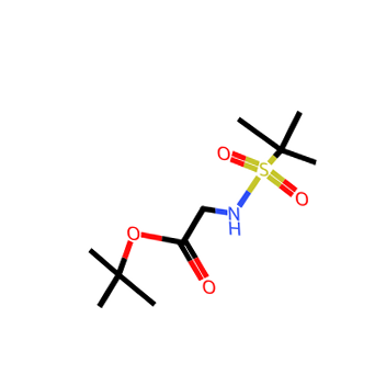 CC(C)(C)OC(=O)CNS(=O)(=O)C(C)(C)C